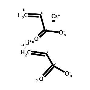 C=CC(=O)[O-].C=CC(=O)[O-].[Cs+].[Li+]